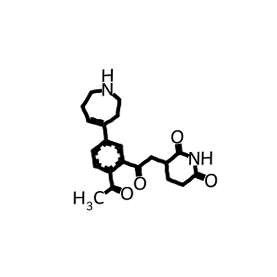 CC(=O)c1ccc(C2=CCCNCC2)cc1C(=O)CC1CCC(=O)NC1=O